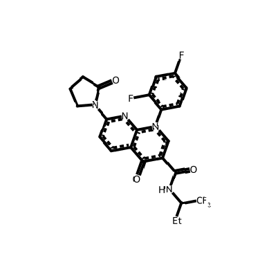 CCC(NC(=O)c1cn(-c2ccc(F)cc2F)c2nc(N3CCCC3=O)ccc2c1=O)C(F)(F)F